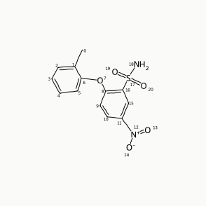 Cc1ccccc1Oc1ccc([N+](=O)[O-])cc1S(N)(=O)=O